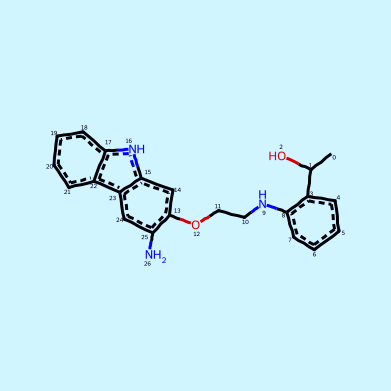 CC(O)c1ccccc1NCCOc1cc2[nH]c3ccccc3c2cc1N